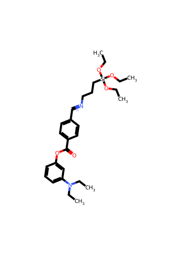 CCO[Si](CCC/N=C/c1ccc(C(=O)Oc2cccc(N(CC)CC)c2)cc1)(OCC)OCC